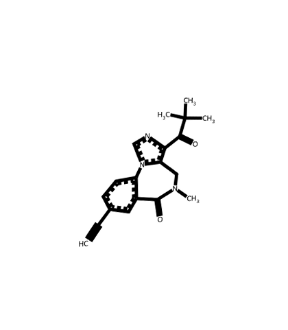 C#Cc1ccc2c(c1)C(=O)N(C)Cc1c(C(=O)C(C)(C)C)ncn1-2